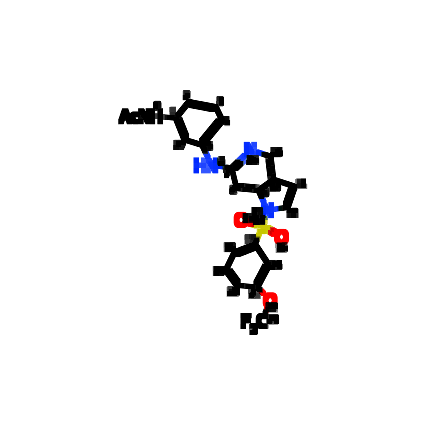 CC(=O)Nc1cccc(Nc2cc3c(ccn3S(=O)(=O)c3cccc(OC(F)(F)F)c3)cn2)c1